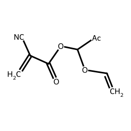 C=COC(OC(=O)C(=C)C#N)C(C)=O